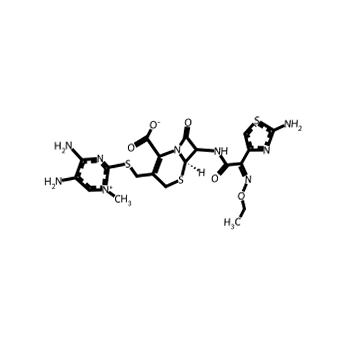 CCO/N=C(\C(=O)NC1C(=O)N2C(C(=O)[O-])=C(CSc3nc(N)c(N)c[n+]3C)CS[C@H]12)c1csc(N)n1